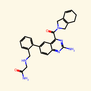 NC(=O)CNCc1ccccc1-c1ccc2nc(N)nc(C(=O)N3CC4=C(CCC=C4)C3)c2c1